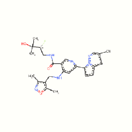 Cc1noc(C)c1CNc1cc(-c2ccc3cc(C#N)cnn23)ncc1C(=O)NC[C@@H](F)C(C)(C)O